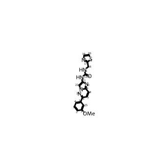 COc1cccc(-c2ccc3nc(NC(=O)NCc4nccs4)cn3n2)c1